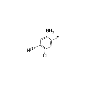 N#Cc1cc(N)c(F)cc1Cl